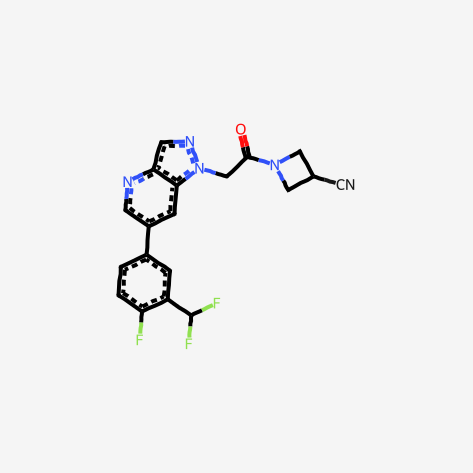 N#CC1CN(C(=O)Cn2ncc3ncc(-c4ccc(F)c(C(F)F)c4)cc32)C1